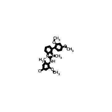 COc1ccc(-c2cccc3nc(Nc4c(C)cc(Cl)cc4OC)n(C)c23)c(OC)c1